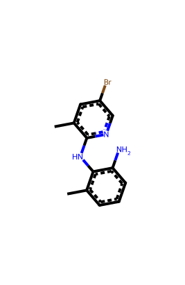 Cc1cc(Br)cnc1Nc1c(C)cccc1N